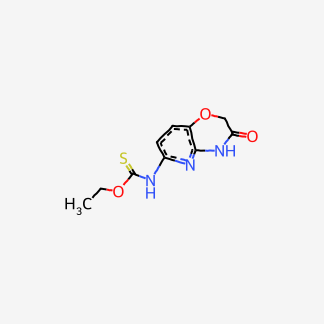 CCOC(=S)Nc1ccc2c(n1)NC(=O)CO2